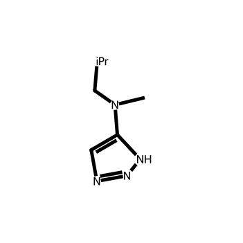 CC(C)CN(C)c1cnn[nH]1